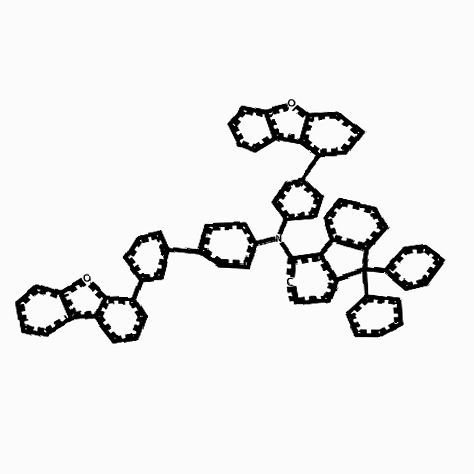 c1ccc(C2(c3ccccc3)c3ccccc3-c3c(N(c4ccc(-c5cccc(-c6cccc7c6oc6ccccc67)c5)cc4)c4ccc(-c5cccc6oc7ccccc7c56)cc4)cccc32)cc1